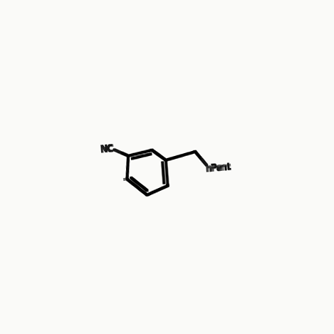 CCCCCCc1cc[c]c(C#N)c1